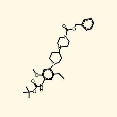 CCc1cc(NC(=O)OC(C)(C)C)c(OC)cc1N1CCC(N2CCN(C(=O)OCc3ccccc3)CC2)CC1